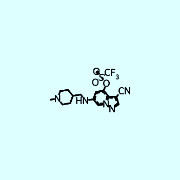 CN1CCC(CNc2cc(OS(=O)(=O)C(F)(F)F)c3c(C#N)cnn3c2)CC1